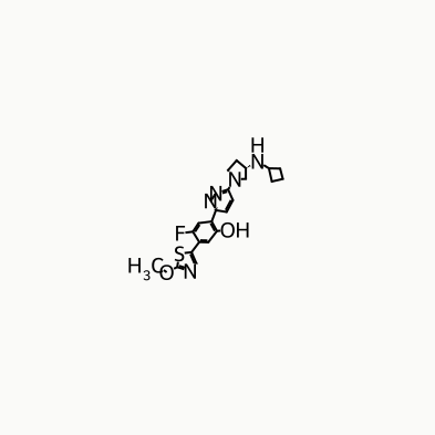 COc1ncc(-c2cc(O)c(-c3ccc(N4CC[C@H](NC5CCC5)C4)nn3)cc2F)s1